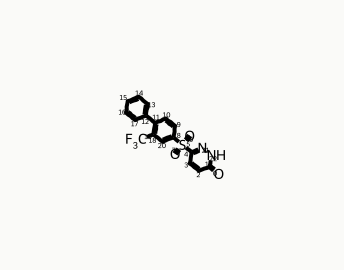 O=c1ccc(S(=O)(=O)c2ccc(-c3ccccc3)c(C(F)(F)F)c2)n[nH]1